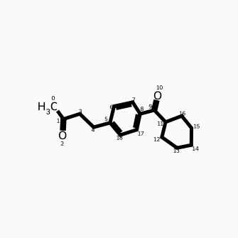 CC(=O)CCc1ccc(C(=O)C2CCCCC2)cc1